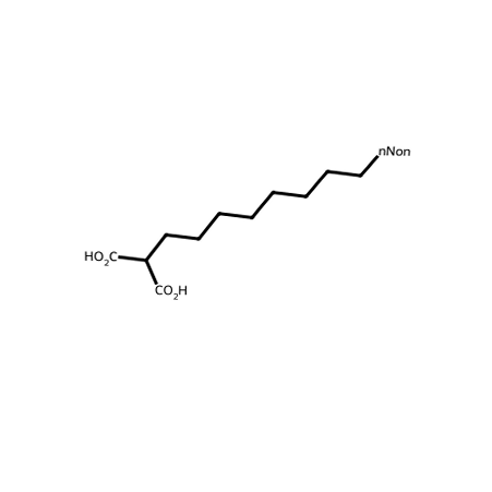 CCCCCCCCCCCCCCCCCC(C(=O)O)C(=O)O